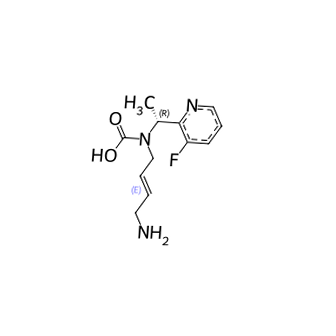 C[C@H](c1ncccc1F)N(C/C=C/CN)C(=O)O